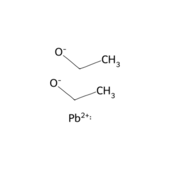 CC[O-].CC[O-].[Pb+2]